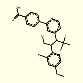 COc1ccc(C(CO)C(c2ccnc(-c3ccc(C(=O)O)cc3)c2)C(F)(F)F)c(Cl)c1